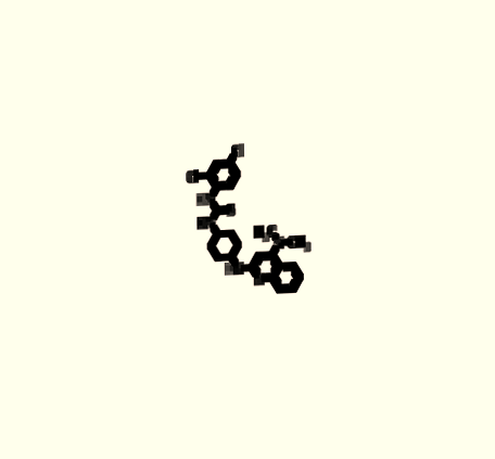 CN(C)c1cc(NC2CCC(NC(=S)Nc3ccc(Cl)cc3Cl)CC2)nc2ccccc12